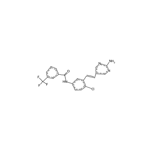 Nc1ncc(C=Cc2cc(NC(=O)c3cccc(C(F)(F)F)c3)ccc2Cl)cn1